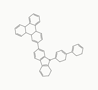 C1=CCCC(C2=CC=C(n3c4c(c5ccc(C6=CC7C(C=C6)c6ccccc6C6C=CC=CC67)cc53)C=CCC4)CC2)=C1